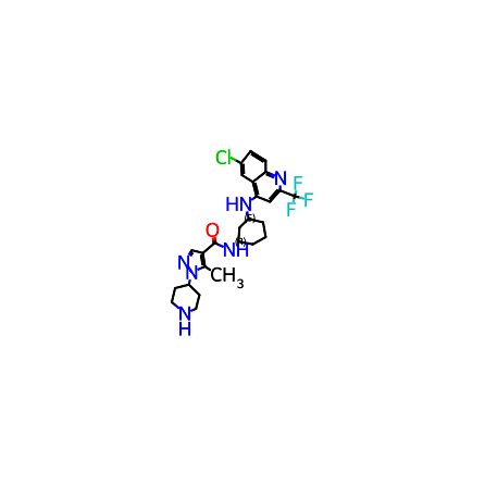 Cc1c(C(=O)N[C@@H]2CCC[C@H](Nc3cc(C(F)(F)F)nc4ccc(Cl)cc34)C2)cnn1C1CCNCC1